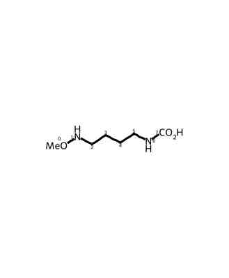 CONCCCCNC(=O)O